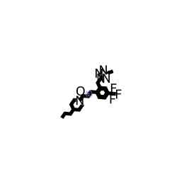 CCCC1CCN(C(=O)/C=C/c2ccc(C(F)(F)F)cc2Cn2nnc(C)n2)CC1